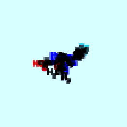 CC(C)CC(Nc1cnc(-c2ccc(C(F)(F)F)cc2)nc1)c1cccnc1C(=O)NCCC(=O)O